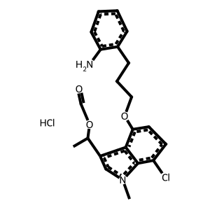 CC(OC=O)c1cn(C)c2c(Cl)ccc(OCCCc3ccccc3N)c12.Cl